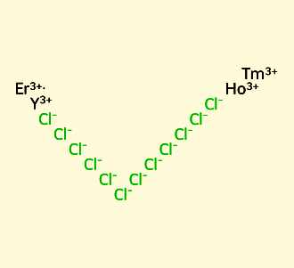 [Cl-].[Cl-].[Cl-].[Cl-].[Cl-].[Cl-].[Cl-].[Cl-].[Cl-].[Cl-].[Cl-].[Cl-].[Er+3].[Ho+3].[Tm+3].[Y+3]